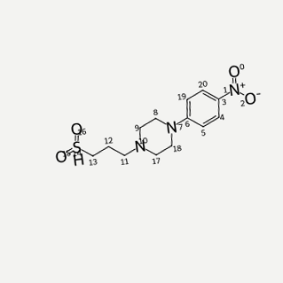 O=[N+]([O-])c1ccc(N2CCN(CCC[SH](=O)=O)CC2)cc1